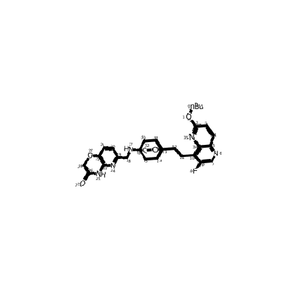 CCCCOc1ccc2ncc(F)c(CCC34CCC(NCc5ccc6c(n5)NC(=O)CO6)(CC3)CO4)c2n1